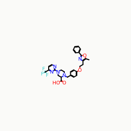 Cc1oc(-c2ccccc2)nc1CCOc1ccc(CN2CCN(c3nccc(C(F)(F)F)n3)CC2C(=O)O)cc1